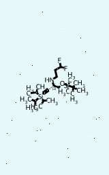 CC(C)[Si](C#C[C@@H](CO[Si](C)(C)C(C)(C)C)NCCC(F)F)(C(C)C)C(C)C